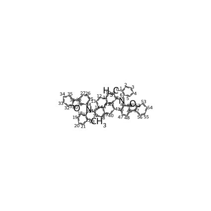 Cc1ccccc1N(c1ccc2ccc3c(N(c4ccccc4C)c4cccc5c4oc4ccccc45)ccc4ccc1c2c43)c1cccc2c1oc1ccccc12